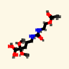 CCO[Si](CCCNC(=O)NCCOC(=O)C(C)CC)(OCC)C(O)O